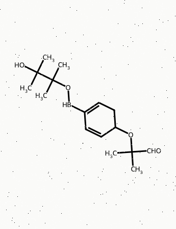 CC(C)(C=O)OC1C=CC(BOC(C)(C)C(C)(C)O)=CC1